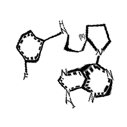 Fc1cccc(NC[C@H]2CCCN2c2ncnc3[nH]cnc23)c1